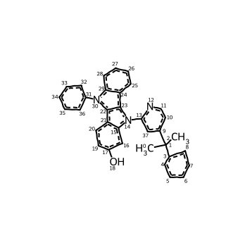 CC(C)(c1ccccc1)c1ccnc(-n2c3cc(O)ccc3c3c2c2ccccc2n3-c2ccccc2)c1